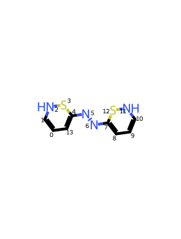 C1=CNSC(N=NC2=CC=CNS2)=C1